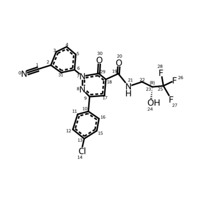 N#Cc1cccc(-n2nc(-c3ccc(Cl)cc3)cc(C(=O)NC[C@@H](O)C(F)(F)F)c2=O)c1